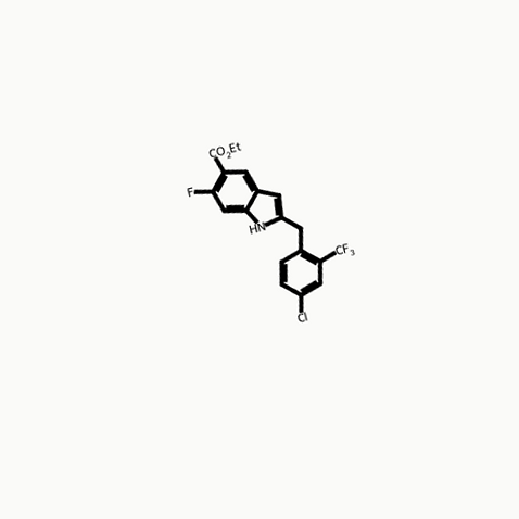 CCOC(=O)c1cc2cc(Cc3ccc(Cl)cc3C(F)(F)F)[nH]c2cc1F